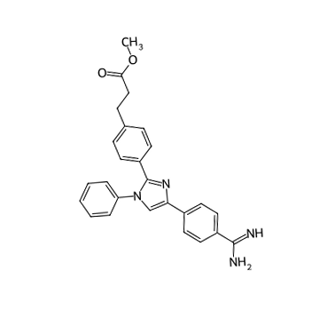 COC(=O)CCc1ccc(-c2nc(-c3ccc(C(=N)N)cc3)cn2-c2ccccc2)cc1